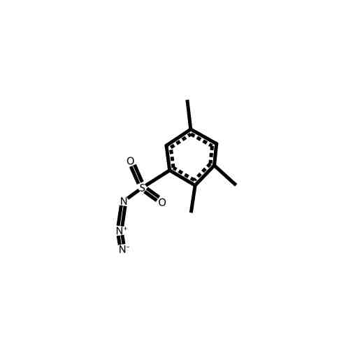 Cc1cc(C)c(C)c(S(=O)(=O)N=[N+]=[N-])c1